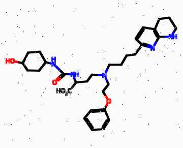 O=C(NC1CCC(O)CC1)NC(CCN(CCCCc1ccc2c(n1)NCCC2)CCOc1ccccc1)C(=O)O